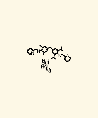 Cc1cc(Cc2cc(C(C)C)c(N=Cc3ccccn3)c(C(C)C)c2)cc(C)c1N=Cc1ccccn1.Cl.Cl.Cl.Cl.[Pd].[Pd]